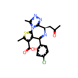 CC(=O)C[C@H]1N=C(c2ccc(Cl)cc2)c2c(sc(C)c2C(=O)O)-n2c(C)nnc21